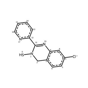 SN1Cc2ccc(Cl)cc2N=C1c1ccccn1